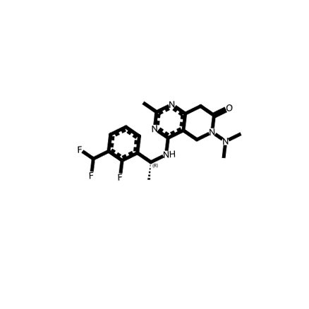 Cc1nc2c(c(N[C@H](C)c3cccc(C(F)F)c3F)n1)CN(N(C)C)C(=O)C2